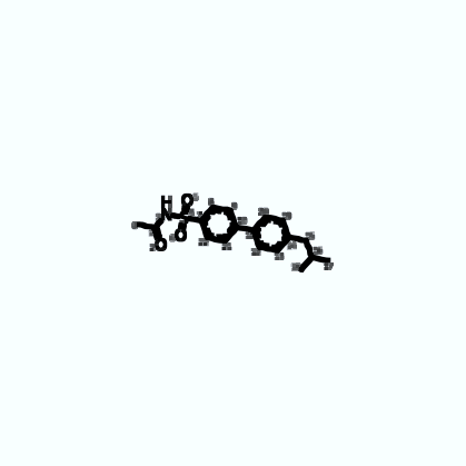 CC(=O)NS(=O)(=O)c1ccc(-c2ccc(CC(C)C)cc2)cc1